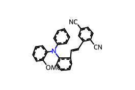 COc1ccccc1N(c1ccccc1)c1ccccc1/C=C/c1cc(C#N)ccc1C#N